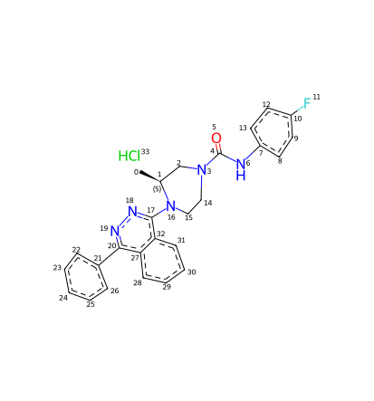 C[C@H]1CN(C(=O)Nc2ccc(F)cc2)CCN1c1nnc(-c2ccccc2)c2ccccc12.Cl